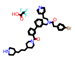 O=C(Cc1ccc(Br)cc1)N(CCc1ccncc1)Cc1cccc(-c2cccc(C(=O)N3CCC(CCCC4CCNCC4)CC3)c2)c1.O=C(O)C(F)(F)F